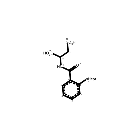 CCCCCCCc1ccccc1C(=O)NC(CS(=O)(=O)O)C(=O)O